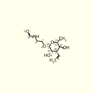 C=C[C@H]1[C@H](O)[C@H](OCCNC=O)O[C@@H](C)[C@H]1O